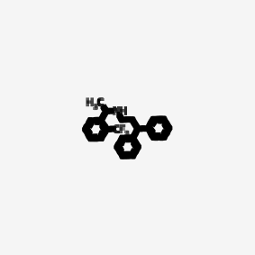 CC(NCCC(c1ccccc1)c1ccccc1)c1ccccc1C(F)(F)F